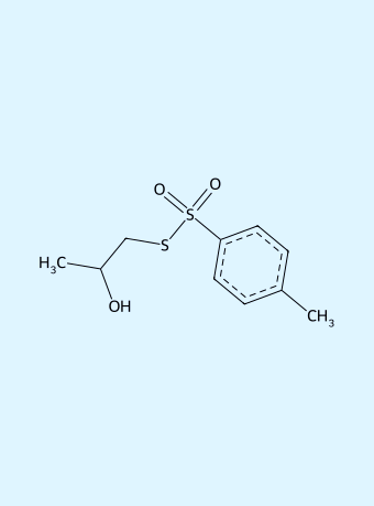 Cc1ccc(S(=O)(=O)SCC(C)O)cc1